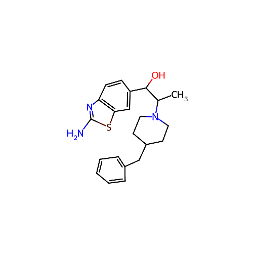 CC(C(O)c1ccc2nc(N)sc2c1)N1CCC(Cc2ccccc2)CC1